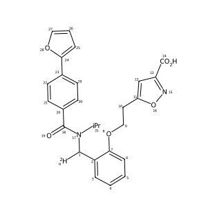 [2H]C(c1ccccc1OCCc1cc(C(=O)O)no1)N(C(=O)c1ccc(-c2ccco2)cc1)C(C)C